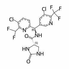 O=C1NC[C@@H](C(=O)N[C@H](c2cnc(C(F)(F)F)c(Cl)c2)c2ccc(Cl)c(C(F)F)n2)N1